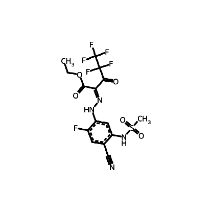 CCOC(=O)C(=NNc1cc(NS(C)(=O)=O)c(C#N)cc1F)C(=O)C(F)(F)C(F)(F)F